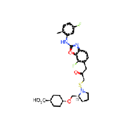 Cc1ccc(F)cc1Nc1nc2ccc(CC(=O)CSN3CCC[C@H]3CO[C@H]3CC[C@H](C(=O)O)CC3)c(F)c2o1